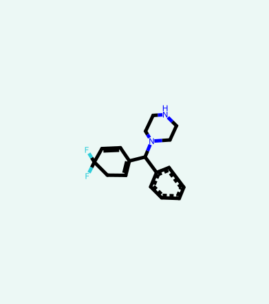 FC1(F)C=CC(C(c2ccccc2)N2CCNCC2)=CC1